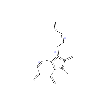 C=C/C=C\C=c1\c(/C=C\C=C)c(C=C)n(F)c1=C